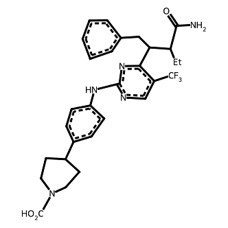 CCC(C(N)=O)C(Cc1ccccc1)c1nc(Nc2ccc(C3CCN(C(=O)O)CC3)cc2)ncc1C(F)(F)F